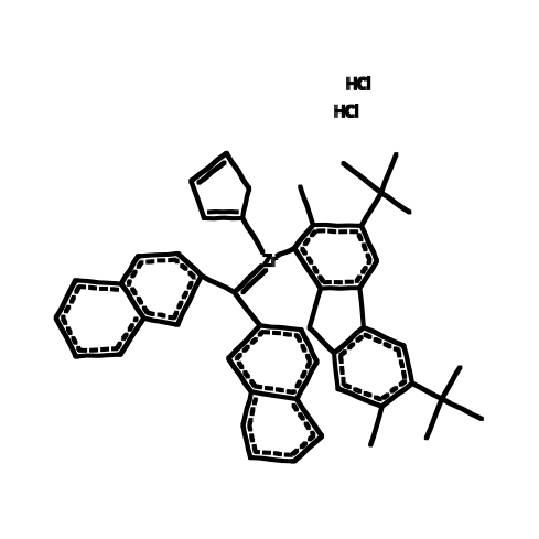 Cc1cc2c(cc1C(C)(C)C)-c1cc(C(C)(C)C)c(C)[c]([Zr]([C]3=CC=CC3)=[C](c3ccc4ccccc4c3)c3ccc4ccccc4c3)c1C2.Cl.Cl